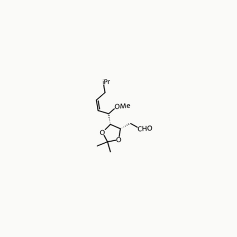 COC(/C=C\CC(C)C)[C@H]1OC(C)(C)O[C@H]1CC=O